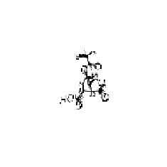 C=C(C)C(=O)OC1CC(C(=O)O)C2CC1OC2=O